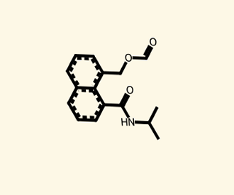 CC(C)NC(=O)c1cccc2cccc(COC=O)c12